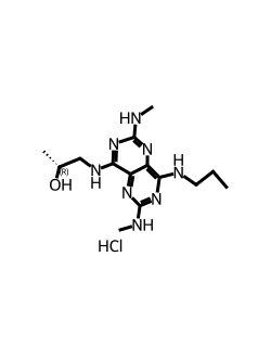 CCCNc1nc(NC)nc2c(NC[C@@H](C)O)nc(NC)nc12.Cl